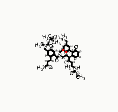 CCc1cccc(-c2c(Cl)cccc2[C@H]([C@@H]2CCCN(C(=O)c3ccc(CN(C)C(=O)OC(C)(C)C)cc3CCC(N)=O)C2)[C@H](C)CCNC(=O)OC)c1